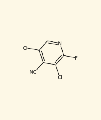 N#Cc1c(Cl)cnc(F)c1Cl